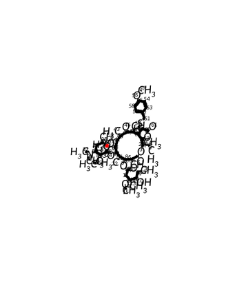 CC[C@H]1OC(=O)[C@H](C)[C@@H](O[C@H]2C[C@@](C)(OC)[C@@H](O)[C@H](C)O2)[C@H](C)[C@@H](O[C@@H]2O[C@H](C)C[C@H](N(C)C)[C@H]2OC)[C@](C)(OC)C[C@@H](C)C(=O)[C@H](C)[C@H]2C(SCc3ccc(OC)cc3)C(=O)O[C@@]21C